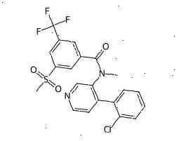 CN(C(=O)c1cc(C(F)(F)F)cc(S(C)(=O)=O)c1)c1cnccc1-c1ccccc1Cl